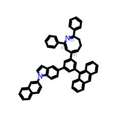 C1=C(c2ccccc2)\N=C(\c2ccccc2)CC\C=C/1c1cc(-c2ccc3c(ccn3-c3ccc4ccccc4c3)c2)cc(-c2c3ccccc3cc3ccccc23)c1